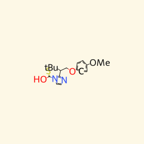 COc1ccc(OCC(c2nccn2C(O)=S)C(C)(C)C)cc1